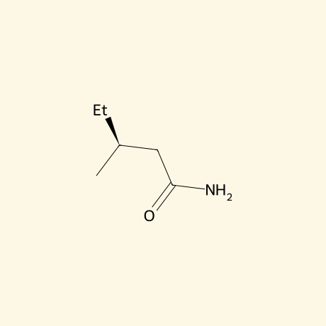 CC[C@H](C)CC(N)=O